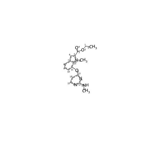 CCOC(=O)c1cc2cccc(Oc3ccnc(NC)n3)c2n1C